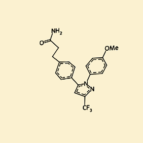 COc1ccc(-n2nc(C(F)(F)F)cc2-c2ccc(CCC(N)=O)cc2)cc1